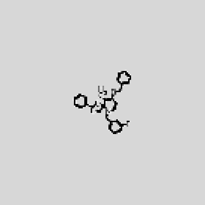 CC1=C(OCc2ccccc2)C=CN(Cc2cccc(F)c2)C1(C=O)OCc1ccccc1